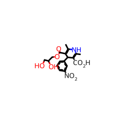 CC1=C(C(=O)O)C(c2cccc([N+](=O)[O-])c2)C(C(=O)OCC(O)CO)=C(C)N1